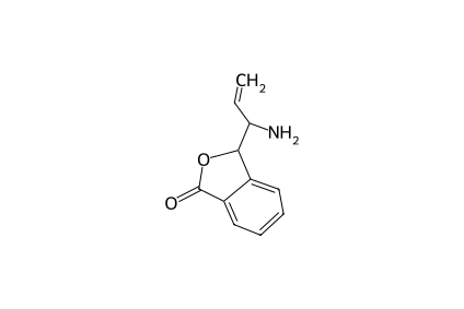 C=CC(N)C1OC(=O)c2ccccc21